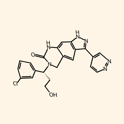 O=C1Nc2cc3[nH]nc(-c4ccnnc4)c3cc2CN1[C@H](CCO)c1cccc(Cl)c1